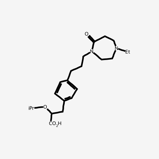 CCN1CCC(=O)N(CCCc2ccc(CC(OC(C)C)C(=O)O)cc2)CC1